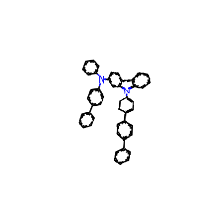 C1=C(c2ccc(-c3ccccc3)cc2)CCC(n2c3ccccc3c3ccc(N(c4ccccc4)c4ccc(-c5ccccc5)cc4)cc32)=C1